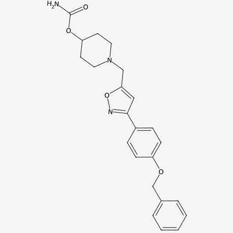 NC(=O)OC1CCN(Cc2cc(-c3ccc(OCc4ccccc4)cc3)no2)CC1